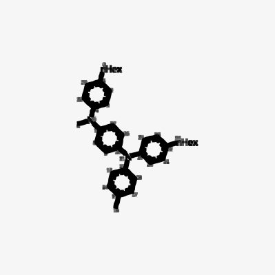 CCCCCCc1ccc(N(C)c2ccc(N(c3ccc(C)cc3)c3ccc(CCCCCC)cc3)cc2)cc1